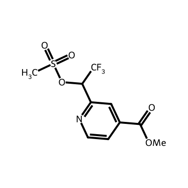 COC(=O)c1ccnc(C(OS(C)(=O)=O)C(F)(F)F)c1